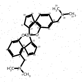 CN(C)Cc1cccc([O][Zr]([O]c2cccc(CN(C)C)c2)([C]2=CC=CC2)[C]2=CC=CC2)c1